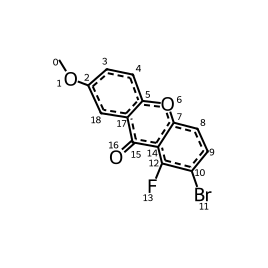 COc1ccc2oc3ccc(Br)c(F)c3c(=O)c2c1